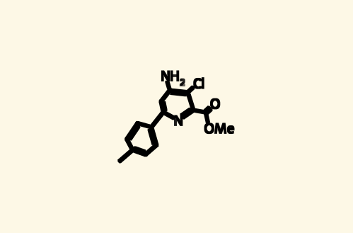 COC(=O)c1nc(-c2ccc(C)cc2)cc(N)c1Cl